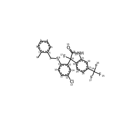 Cc1ccccc1CSc1ccc(Cl)cc1C1(F)C(=O)Nc2cc(C(F)(F)F)ccc21